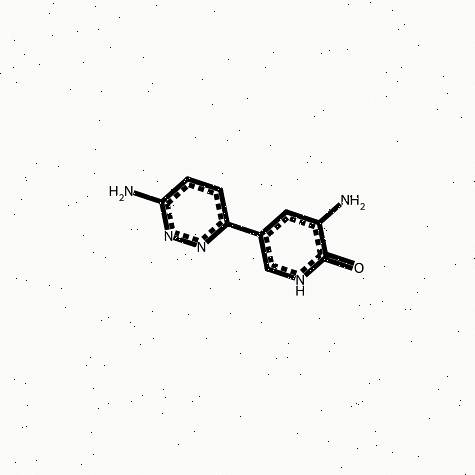 Nc1ccc(-c2c[nH]c(=O)c(N)c2)nn1